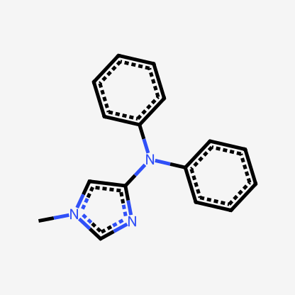 Cn1cnc(N(c2ccccc2)c2ccccc2)c1